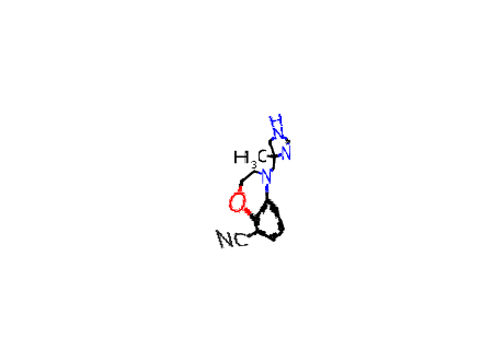 CC1(CN2CCOc3c(C#N)cccc32)CNC=N1